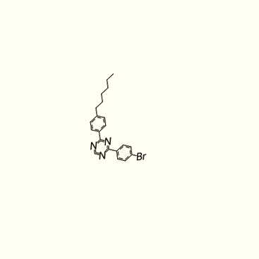 CCCCCCc1ccc(-c2ncnc(-c3ccc(Br)cc3)n2)cc1